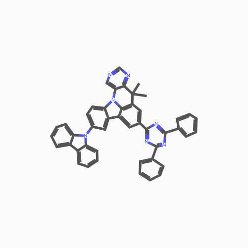 CC1(C)c2ncncc2-n2c3ccc(-n4c5ccccc5c5ccccc54)cc3c3cc(-c4nc(-c5ccccc5)nc(-c5ccccc5)n4)cc1c32